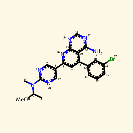 COC(C)N(C)c1ncc(-c2cc(-c3cccc(Br)c3)c3c(N)ncnc3n2)cn1